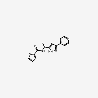 CC(NC(=O)c1cccs1)c1nc(-c2ccncc2)n[nH]1